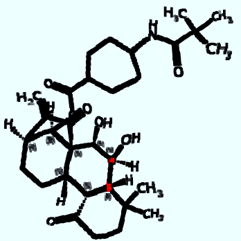 C=C1C(=O)[C@]23[C@H](OC(=O)C4CCC(NC(=O)C(C)(C)C)CC4)[C@H]1CC[C@H]2[C@@]12CO[C@]3(O)[C@@H](O)[C@@H]1C(C)(C)CCC2=O